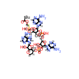 COC1C(OP(=O)(O)OC[C@H]2O[C@@H](n3cnc4c(N)ncnc43)C(OP(=O)(O)OC[C@]34CCCOC3C(O)[C@H](n3cnc5c(N)ncnc53)O4)C2O)[C@H](n2cnc3c(N)ncnc32)O[C@@H]1COP(=O)(O)SCOC(=O)C(C)(C)C